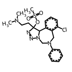 CN(C)CCC1(OS(C)(=O)=O)N=NN2CN(c3ccccc3)Cc3c(Cl)cccc3C21